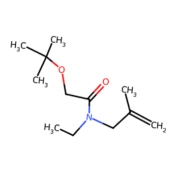 C=C(C)CN(CC)C(=O)COC(C)(C)C